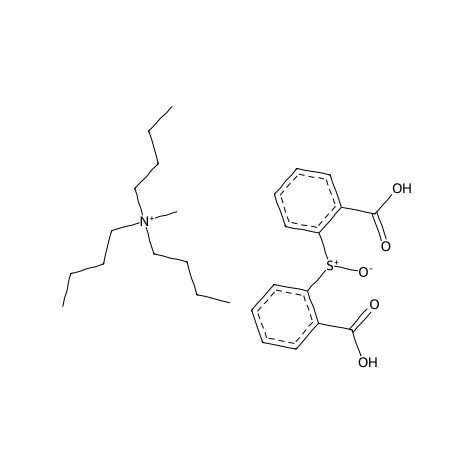 CCCC[N+](C)(CCCC)CCCC.O=C(O)c1ccccc1[S+]([O-])c1ccccc1C(=O)O